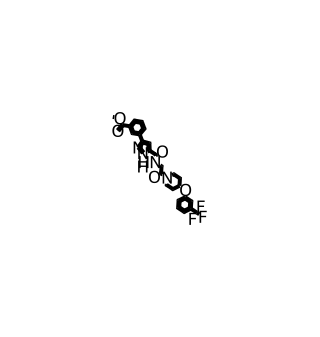 COC(=O)c1cccc(-c2cc(C(=O)NCC(=O)N3CCC(Oc4cccc(C(F)(F)F)c4)CC3)[nH]n2)c1